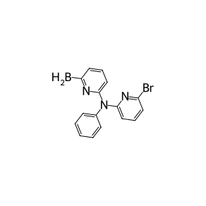 Bc1cccc(N(c2ccccc2)c2cccc(Br)n2)n1